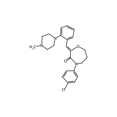 CN1CCN(c2ccccc2C=C2OCCCN(c3ccc(Cl)cc3)C2=O)CC1